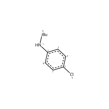 CCC(C)Nc1ccc(Cl)cc1